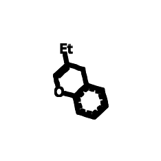 [CH2]CC1=COc2ccccc2C1